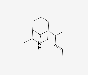 CC=CC(C)C12CCCC(C(C)NC1)C2C